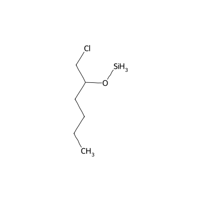 CCCCC(CCl)O[SiH3]